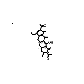 C=C1C2=C(O)[C@@]3(C)C(=O)C(C(C)=O)=C(C)C[C@@]3(C)C[C@@]2(C)Cc2c(CC)cc(C(C)=O)c(C)c21